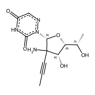 CC#CC1(N)[C@@H](O)[C@@H]([C@H](C)O)O[C@H]1n1ncc(=O)[nH]c1=O